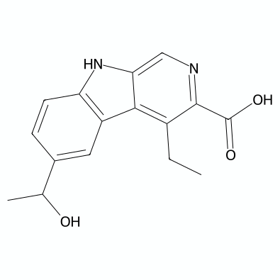 CCc1c(C(=O)O)ncc2[nH]c3ccc(C(C)O)cc3c12